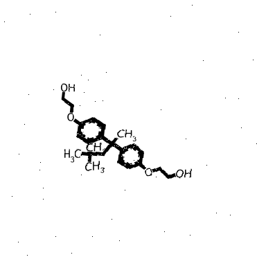 CC(C)(C)CC(C)(c1ccc(OCCO)cc1)c1ccc(OCCO)cc1